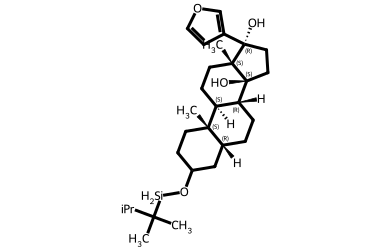 CC(C)C(C)(C)[SiH2]OC1CC[C@@]2(C)[C@H](CC[C@@H]3[C@@H]2CC[C@]2(C)[C@@](O)(c4ccoc4)CC[C@]32O)C1